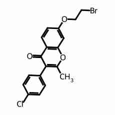 Cc1oc2cc(OCCBr)ccc2c(=O)c1-c1ccc(Cl)cc1